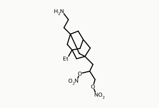 CCC12CC3CC(CCN)(C1)CC(CC(CO[N+](=O)[O-])O[N+](=O)[O-])(C3)C2